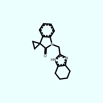 O=C1N(Cc2nc3c([nH]2)CCCC3)c2ccccc2C12CC2